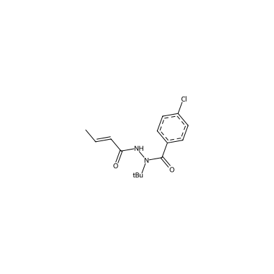 C/C=C/C(=O)NN(C(=O)c1ccc(Cl)cc1)C(C)(C)C